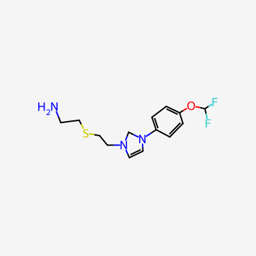 NCCSCCN1C=CN(c2ccc(OC(F)F)cc2)C1